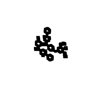 CCOc1cc(CN2CCC(Nc3cnc(-c4ccccc4)nc3)CC2)cc(OCC)c1Cl.c1ccc(-c2ncc(NC3CCNCC3)cn2)cc1